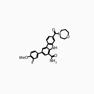 COc1ccc(-c2cc(C(N)=O)c3[nH]c4cc(C(=O)N5CCCOCC5)ccc4c3c2)cc1F